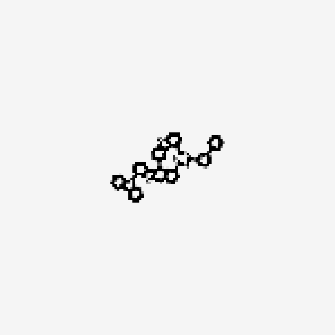 c1ccc(-c2cccc(-c3nc(-c4ccccc4)nc(-c4cccc5oc6ccc(-c7cccc8sc9c(-n%10c%11ccccc%11c%11ccccc%11%10)cccc9c78)cc6c45)n3)c2)cc1